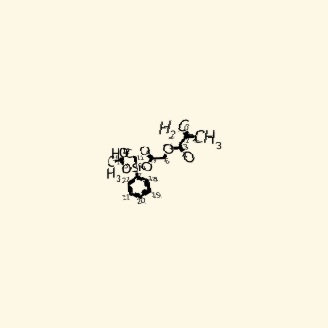 C=C(C)C(=O)OCC(=O)O[Si](CC)(OC(C)=O)c1ccccc1